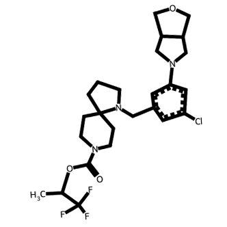 CC(OC(=O)N1CCC2(CCCN2Cc2cc(Cl)cc(N3CC4COCC4C3)c2)CC1)C(F)(F)F